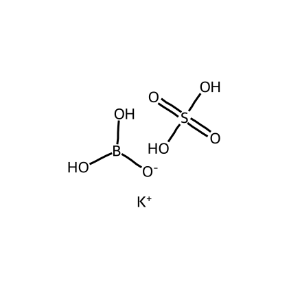 O=S(=O)(O)O.[K+].[O-]B(O)O